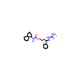 NC(=S)N/N=C(\CCCOC(=O)Nc1cccc2ccccc12)c1ccccc1